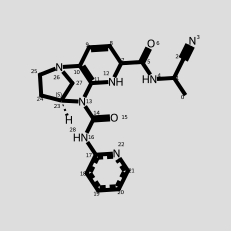 CC(C#N)NC(=O)C1C=CC2=C(N1)N(C(=O)Nc1ccccn1)[C@H]1CCN2C1